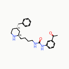 CC(=O)c1cccc(NC(=O)NCCCC[C@@H]2C[C@@H](Cc3ccccc3)CCN2)c1